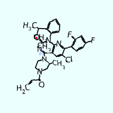 C=CC(=O)N1CCN(/C(=N/C)c2cc(Cl)c(-c3ccc(F)cc3F)nc2N(C=O)c2ccccc2C(C)C)C(C)C1